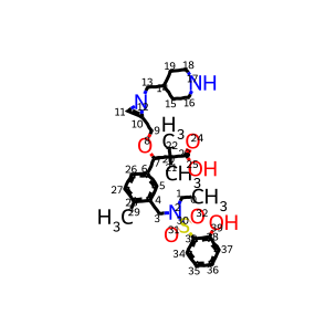 CCN(Cc1cc(C(OCC2=CN2CC2CCNCC2)C(C)(C)C(=O)O)ccc1C)S(=O)(=O)c1ccccc1O